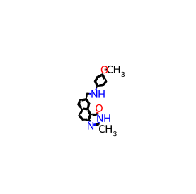 COc1ccc(NCc2ccc3ccc4nc(C)[nH]c(=O)c4c3c2)cc1